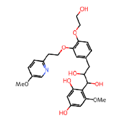 COc1ccc(CCOc2cc(CC(O)C(O)c3c(O)cc(O)cc3OC)ccc2OCCO)nc1